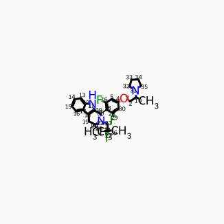 CC(COc1cc(F)c([C@@H]2c3[nH]c4ccccc4c3C[C@@H](C)N2CC(C)(C)F)c(F)c1)N1CCCC1